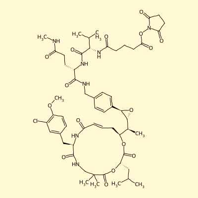 CNC(=O)CC[C@H](NC(=O)[C@@H](NC(=O)CCCC(=O)ON1C(=O)CCC1=O)C(C)C)C(=O)NCc1ccc([C@H]2O[C@@H]2[C@@H](C)[C@@H]2C/C=C/C(=O)N[C@H](Cc3ccc(OC)c(Cl)c3)C(=O)NCC(C)(C)C(=O)O[C@@H](CC(C)C)C(=O)O2)cc1